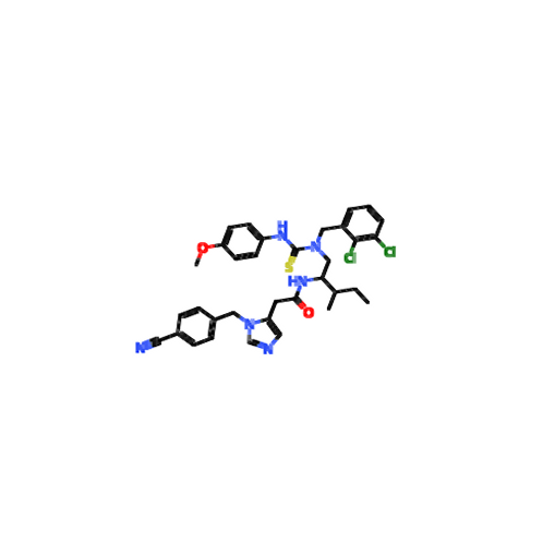 CCC(C)C(CN(Cc1cccc(Cl)c1Cl)C(=S)Nc1ccc(OC)cc1)NC(=O)Cc1cncn1Cc1ccc(C#N)cc1